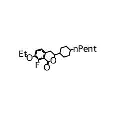 CCCCCC1CCC(C2Cc3ccc(OCC)c(F)c3C(=O)O2)CC1